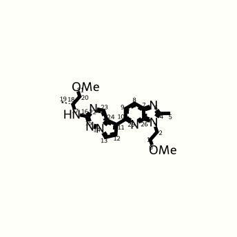 COCCn1c(C)nc2ccc(-c3ccn4nc(N[C@H](C)COC)ncc34)nc21